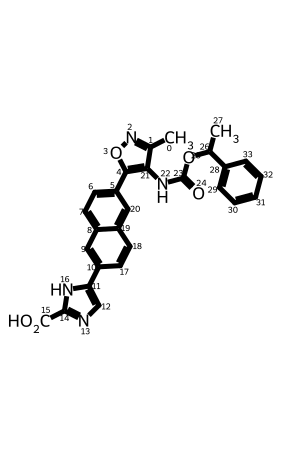 Cc1noc(-c2ccc3cc(-c4cnc(C(=O)O)[nH]4)ccc3c2)c1NC(=O)OC(C)c1ccccc1